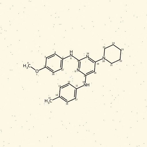 COc1ccc(Nc2nc(Nc3ccc(C)cc3)cc(N3CCCCC3)n2)cc1